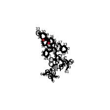 CCO[Si](CNC(=O)CN1C(=O)/C(=C/C=C2/N(Cc3ccccc3)c3ccc(-c4ccc(OC)cc4)cc3C2(Cc2ccccc2)Cc2ccccc2)SC1C1SC(=S)N(CC)C1=O)(OCC)OCC